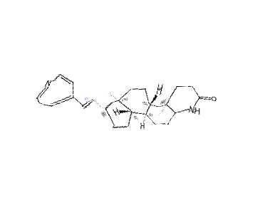 C[C@]12CC[C@H]3[C@@H](CCC4NC(=O)CC[C@@]43C)[C@@H]1CC[C@@H]2/C=C/c1ccncc1